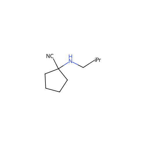 CC(C)CNC1(C#N)CCCC1